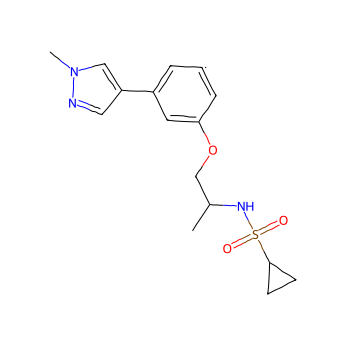 CC(COc1c[c]cc(-c2cnn(C)c2)c1)NS(=O)(=O)C1CC1